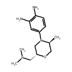 C[C@H]1CO[C@H](CN(C)C)CN1c1ccc(N)c(N)c1